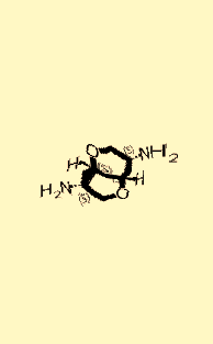 N[C@H]1CO[C@@H]2[C@H]1OC[C@@H]2N